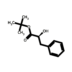 CC(C)(C)OC(=O)[C@@H](O)Cc1ccccc1